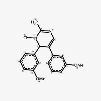 COc1cccc(C2=CN=C(P)N(Cl)C2c2cccc(OC)c2)c1